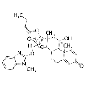 CCC[C@@H]1O[C@@H]2CC3C4CCC5=CC(=O)C=CC5(C)C4[C@@H](O)CC3(C)[C@]2(C(=O)COc2nc3ccccc3n2C)O1